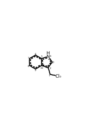 ClCc1[c][nH]c2ccccc12